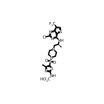 Cc1nc(NC(=O)O)sc1S(=O)(=O)N1CCN(C[C@H](C)Nc2nc(Cl)nc3c(C(F)(F)F)csc23)CC1